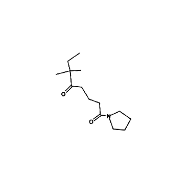 CCC(C)(C)C(=O)CCCC(=O)N1CCCC1